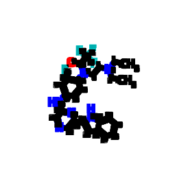 CCN(CC)CCN(C(=O)C(F)(F)F)c1ccc(Nc2cncc(-c3cc4ccccc4[nH]3)n2)cc1F